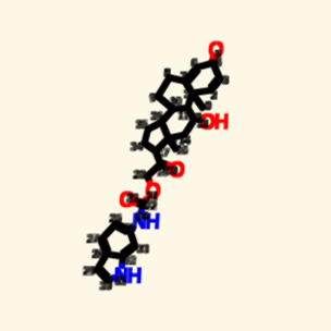 CC12C=CC(=O)C=C1CCC1C2[C@@H](O)CC2(C)C(C(=O)COC(=O)Nc3ccc4cc[nH]c4c3)CCC12